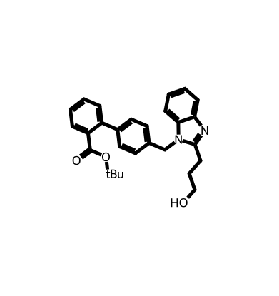 CC(C)(C)OC(=O)c1ccccc1-c1ccc(Cn2c(CCCO)nc3ccccc32)cc1